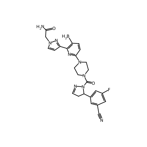 Bc1ccc(N2CCN(C(=O)N3N=CCC3c3cc(F)cc(C#N)c3)CC2)nc1-c1ccn(CC(N)=O)n1